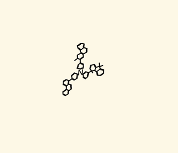 CC1Cc2c(ccc3ccccc23)C=C1c1ccc(N(c2ccc(-c3cccc4c3ccc3ccccc34)cc2)c2cccc(C3(C)C=CC=C4C3c3ccccc3C4(C)C)c2)cc1